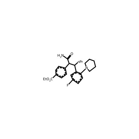 CCCC(c1cc(F)ccc1N1CCCCC1)C(C(N)=O)c1ccc(C(=O)OCC)cc1